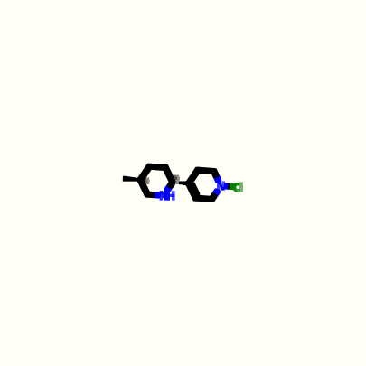 C[C@H]1CC[C@H](C2=CCN(Cl)CC2)NC1